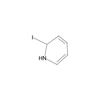 IC1C=CC=CN1